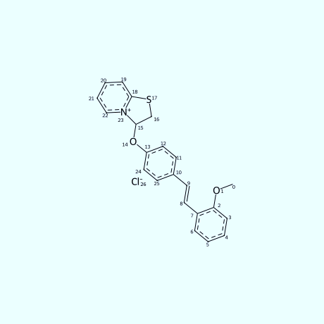 COc1ccccc1/C=C/c1ccc(OC2CSc3cccc[n+]32)cc1.[Cl-]